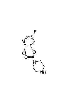 O=C(Oc1cc(F)cnc1Cl)N1CCNCC1